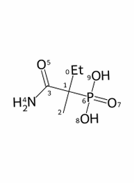 CCC(C)(C(N)=O)P(=O)(O)O